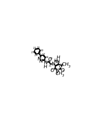 Cn1c2c(c(=O)n(C)c1=O)N(CC(=O)Nc1ccc(-c3ccccc3)nn1)CN2